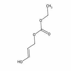 CCOC(=O)OCC=CO